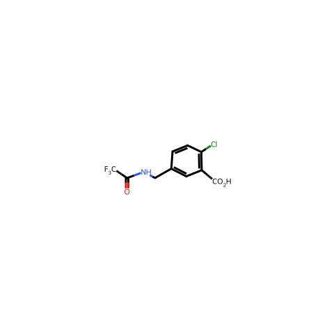 O=C(O)c1cc(CNC(=O)C(F)(F)F)ccc1Cl